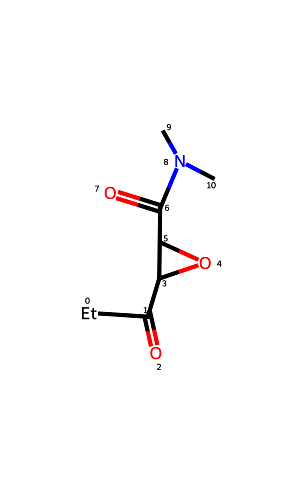 CCC(=O)C1OC1C(=O)N(C)C